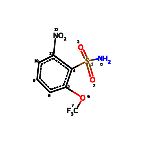 NS(=O)(=O)c1c(OC(F)(F)F)cccc1[N+](=O)[O-]